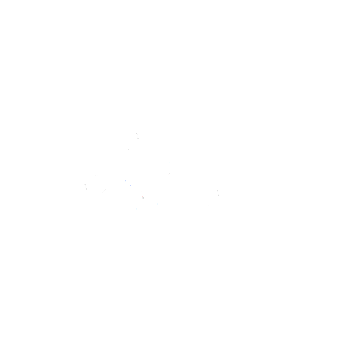 CCOC(=O)C1(c2cc(C)c(OCC(=O)NC(Cc3ccccc3)[C@@H](O)CC(Cc3ccccc3)NC(=O)C(C(C)C)N3CCCNC3=O)c(C)c2)C(C)C1C